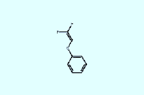 FC(F)=COc1ccccc1